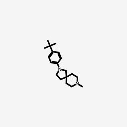 CN1CCC2(CC1)CCN(c1ccc(C(C)(C)C)cc1)C2